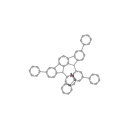 c1ccc(-c2cc(-c3ccccc3)nc(C3c4ccc(-c5ccccc5)cc4-c4ccc5c(c43)C(c3ccccc3)c3ccc(-c4ccccc4)cc3-5)c2)cc1